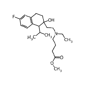 CCN(CCCC(=O)OC)CCC1(O)CCc2cc(F)ccc2C1C(C)C